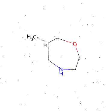 C[C@H]1CNCCOC1